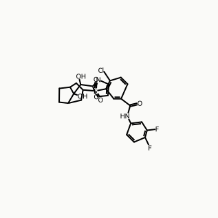 O=C(Nc1ccc(F)c(F)c1)c1ccc(Cl)c(S(=O)(=O)C2CC3CCC(C2)C3(O)C(O)c2ncco2)c1